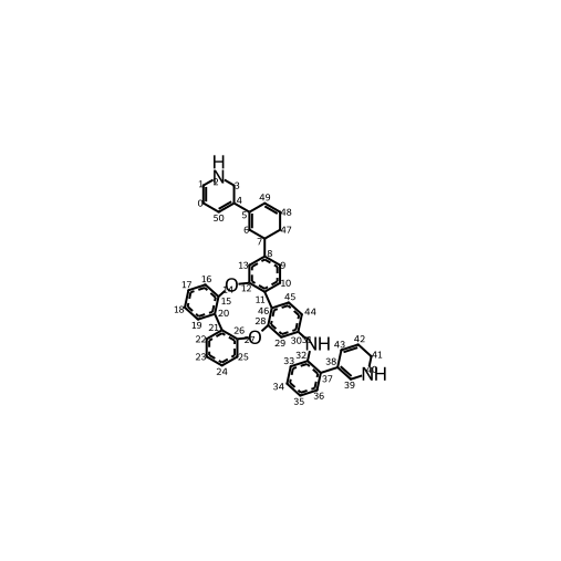 C1=CNCC(C2=CC(c3ccc4c(c3)Oc3ccccc3-c3ccccc3Oc3cc(Nc5ccccc5C5=CNCC=C5)ccc3-4)CC=C2)=C1